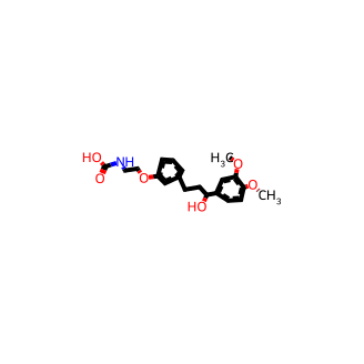 COc1ccc(C(O)CCc2cccc(OCCNC(=O)O)c2)cc1OC